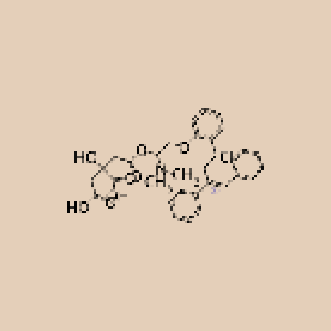 CN(C)C(COc1ccccc1C(Cl)C/C(=C\c1ccccc1)c1ccccc1)OC(=O)CC(O)(CC(=O)O)C(=O)O